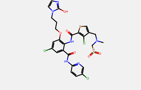 CN(Cc1csc(C(=O)Nc2c(OCCCn3ccnc3O)cc(Cl)cc2C(=O)Nc2ccc(Cl)cn2)c1Cl)C[SH](=O)=O